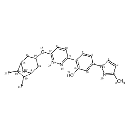 Cc1ccn(-c2ccc(-c3ccc(OC4CC5NC(C4)C(F)C5F)nn3)c(O)c2)n1